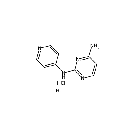 Cl.Cl.Nc1ccnc(Nc2ccncc2)n1